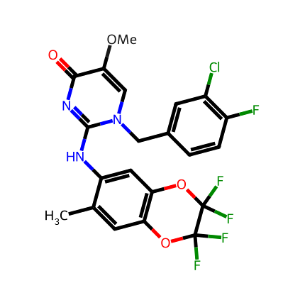 COc1cn(Cc2ccc(F)c(Cl)c2)c(Nc2cc3c(cc2C)OC(F)(F)C(F)(F)O3)nc1=O